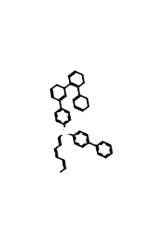 C\C=C/C=C\C=C\N(c1ccc(C2=CC(C3=C(C4=CC=CCC4)CCC=C3)CC=C2)cc1)c1ccc(-c2ccccc2)cc1